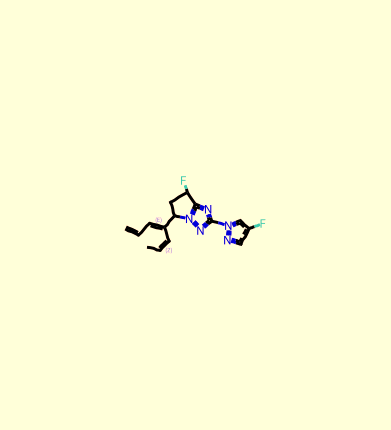 C=C/C=C(\C=C/C)C1CC(F)c2nc(-n3cc(F)cn3)nn21